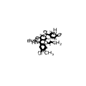 C=CCOc1cc(C)c(Cl)cc1[C@H](N[S@@+]([O-])C(C)(C)C)C1CCN(C(=O)c2ccc(=O)[nH]c2)CC1